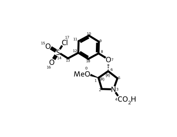 CO[C@@H]1CN(C(=O)O)C[C@H]1Oc1cccc(CS(=O)(=O)Cl)c1